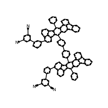 N#Cc1cc(C#N)cc(-c2cccc(-c3ccc4c5c(-c6ccc(-c7ccc(-c8c9c(cc%10c%11ccccc%11c%11cccc9c%11%10)c(-c9ccccc9)c9c%10cccc%11c(-c%12cccc(-c%13cc(C#N)cc(C#N)c%13)c%12)ccc(c89)c%11%10)cc7)cc6)c6cc7c8ccccc8c8cccc(c6c(-c6ccccc6)c5c5cccc3c45)c87)c2)c1